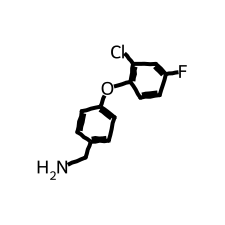 NCc1ccc(Oc2ccc(F)cc2Cl)cc1